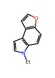 CCn1ccc2c3ccoc3ccc21